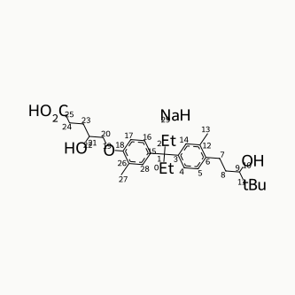 CCC(CC)(c1ccc(CCC(O)C(C)(C)C)c(C)c1)c1ccc(OCC(O)CCC(=O)O)c(C)c1.[NaH]